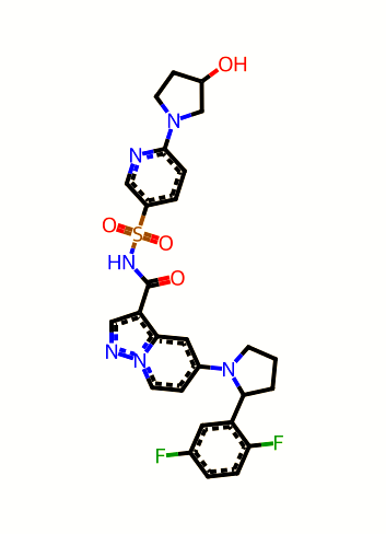 O=C(NS(=O)(=O)c1ccc(N2CCC(O)C2)nc1)c1cnn2ccc(N3CCCC3c3cc(F)ccc3F)cc12